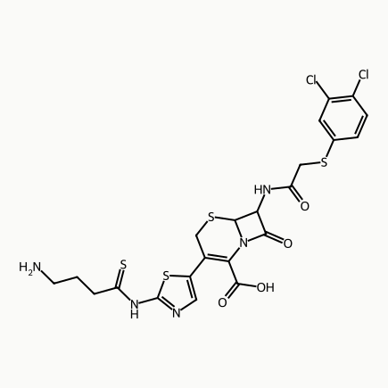 NCCCC(=S)Nc1ncc(C2=C(C(=O)O)N3C(=O)C(NC(=O)CSc4ccc(Cl)c(Cl)c4)C3SC2)s1